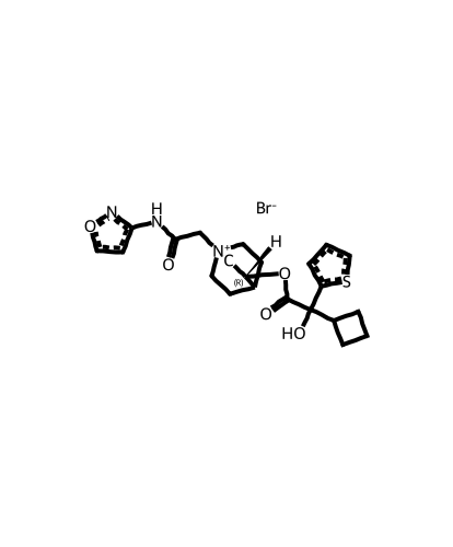 O=C(C[N+]12CCC(CC1)[C@@H](OC(=O)C(O)(c1cccs1)C1CCC1)C2)Nc1ccon1.[Br-]